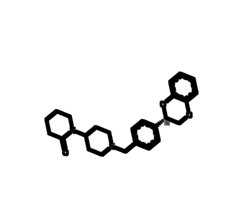 O=C1CCCCN1C1CCN(Cc2ccc([C@H]3COc4ccccc4O3)cc2)CC1